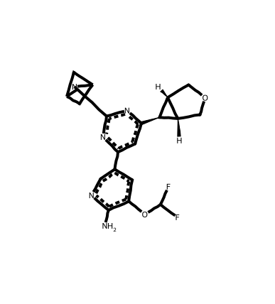 Nc1ncc(-c2cc([C@H]3[C@@H]4COC[C@@H]43)nc(N3CC4CC3C4)n2)cc1OC(F)F